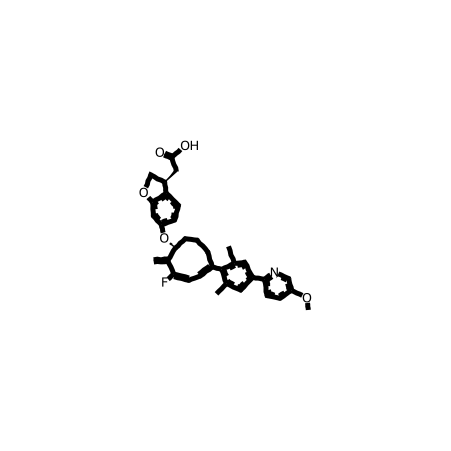 C=C1/C(F)=C\C=C(\c2c(C)cc(-c3ccc(OC)cn3)cc2C)CCC[C@H]1Oc1ccc2c(c1)OC[C@H]2CC(=O)O